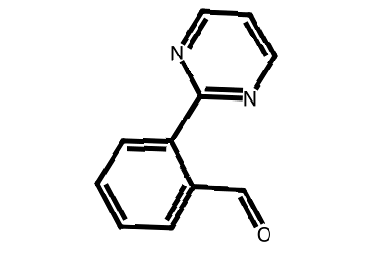 O=Cc1ccccc1-c1ncccn1